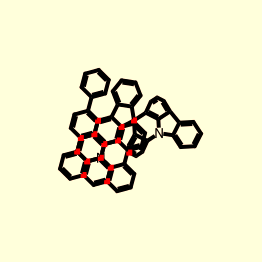 c1ccc(-c2ccc(-c3ccccc3N(c3ccc4c(c3)C3(c5ccccc5-4)c4ccccc4-n4c5ccccc5c5cccc3c54)c3ccccc3-c3ccccc3-c3cccc4ccccc34)cc2)cc1